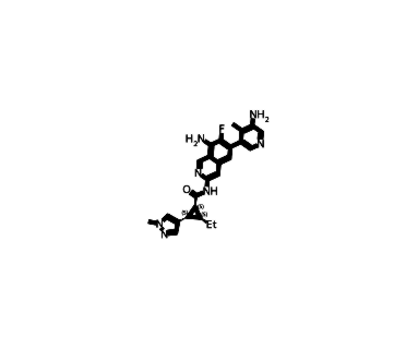 CC[C@@H]1[C@H](C(=O)Nc2cc3cc(-c4cncc(N)c4C)c(F)c(N)c3cn2)[C@H]1c1cnn(C)c1